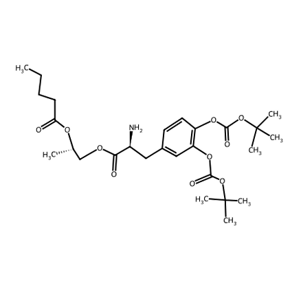 CCCCC(=O)O[C@@H](C)COC(=O)[C@@H](N)Cc1ccc(OC(=O)OC(C)(C)C)c(OC(=O)OC(C)(C)C)c1